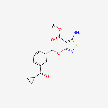 COC(=O)c1c(OCc2cccc(C(=O)C3CC3)c2)nsc1N